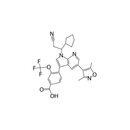 Cc1noc(C)c1-c1cnc2c(c1)c(-c1ccc(C(=O)O)cc1OC(F)(F)F)cn2C(CC#N)C1CCCC1